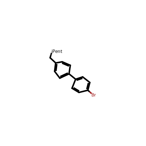 CCCC(C)Cc1ccc(-c2ccc(Br)cc2)cc1